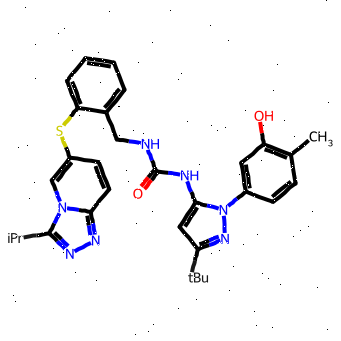 Cc1ccc(-n2nc(C(C)(C)C)cc2NC(=O)NCc2ccccc2Sc2ccc3nnc(C(C)C)n3c2)cc1O